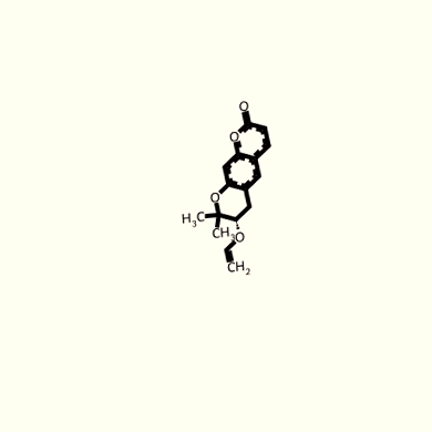 C=CO[C@H]1Cc2cc3ccc(=O)oc3cc2OC1(C)C